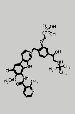 COc1c(Cl)cc2c([nH]c3c[n+](Cc4ccc(C(O)CNC(C)(C)C)cc4OCOP(=O)(O)O)ccc32)c1NC(=O)c1cccnc1C